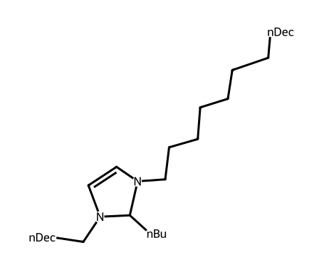 CCCCCCCCCCCCCCCCCN1C=CN(CCCCCCCCCCC)C1CCCC